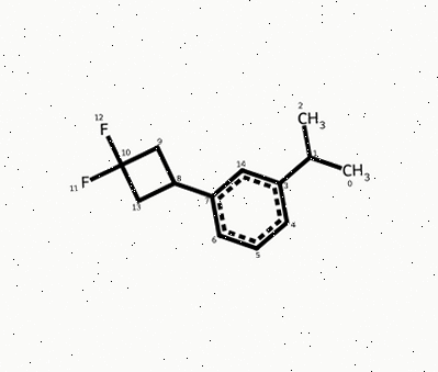 CC(C)c1cccc(C2CC(F)(F)C2)c1